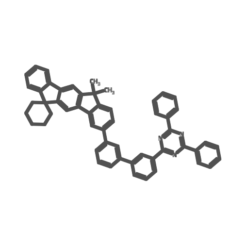 CC1(C)c2ccc(-c3cccc(-c4cccc(-c5nc(-c6ccccc6)nc(-c6ccccc6)n5)c4)c3)cc2-c2cc3c(cc21)-c1ccccc1C31CCCCC1